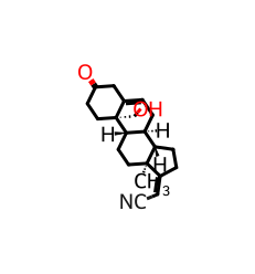 C[C@]12CC[C@H]3[C@@H](CC=C4CC(=O)CC[C@@]43CO)[C@@H]1CC/C2=C/C#N